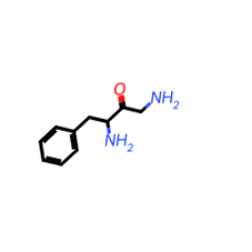 NCC(=O)C(N)Cc1ccccc1